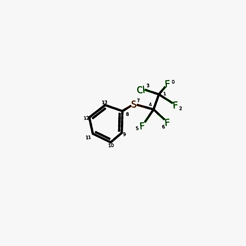 FC(F)(Cl)C(F)(F)Sc1ccccc1